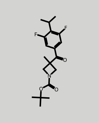 CC(C)c1c(F)cc(C(=O)C2(C)CN(C(=O)OC(C)(C)C)C2)cc1F